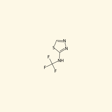 FC(F)(F)Nc1nncs1